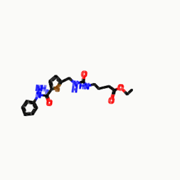 CCOC(=O)CCCNC(=O)NCc1ccc(C(=O)N(N)c2ccccc2)s1